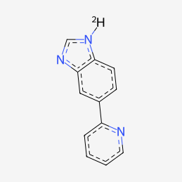 [2H]n1cnc2cc(-c3ccccn3)ccc21